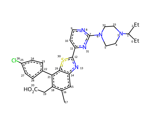 CCC(CC)N1CCN(c2nccc(-c3nc4cc(C)c(CC(=O)O)c(-c5ccc(Cl)cc5)c4s3)n2)CC1